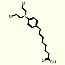 O=C(O)CCCCCCCc1ccc(N(CCCl)CCCl)cc1